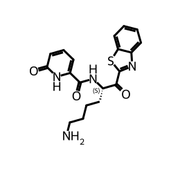 NCCCC[C@H](NC(=O)c1cccc(=O)[nH]1)C(=O)c1nc2ccccc2s1